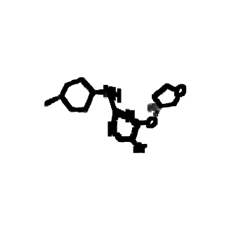 C[C@H]1CC[C@@H](Nc2ncc(Br)c(O[C@@H]3CCOC3)n2)CC1